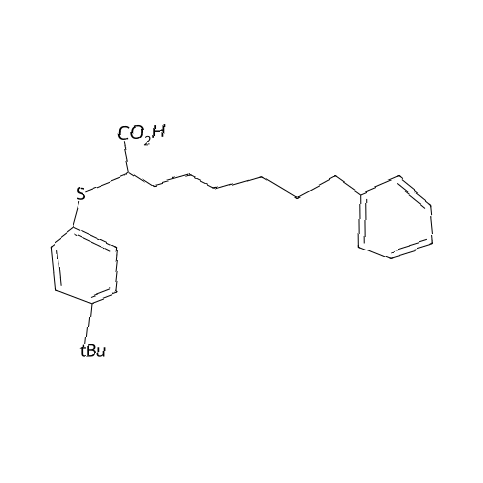 CC(C)(C)c1ccc(SC(CCCCCCc2ccccc2)C(=O)O)cc1